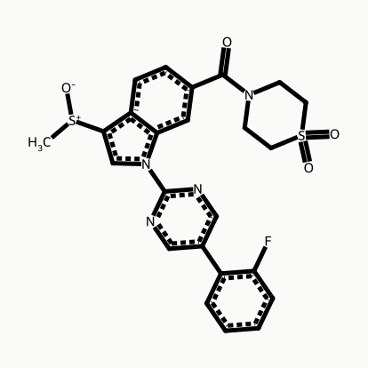 C[S+]([O-])c1cn(-c2ncc(-c3ccccc3F)cn2)c2cc(C(=O)N3CCS(=O)(=O)CC3)ccc12